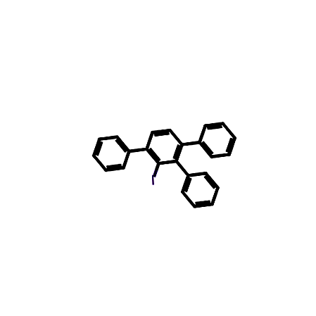 Ic1c(-c2ccccc2)ccc(-c2ccccc2)c1-c1ccccc1